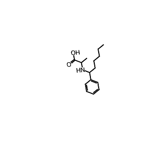 CCCCCC(NC(C)C(=O)O)c1ccccc1